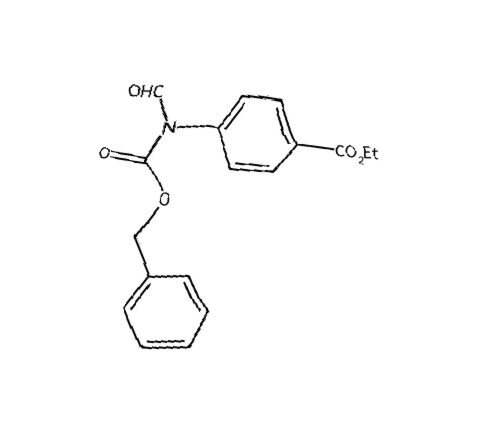 CCOC(=O)c1ccc(N(C=O)C(=O)OCc2ccccc2)cc1